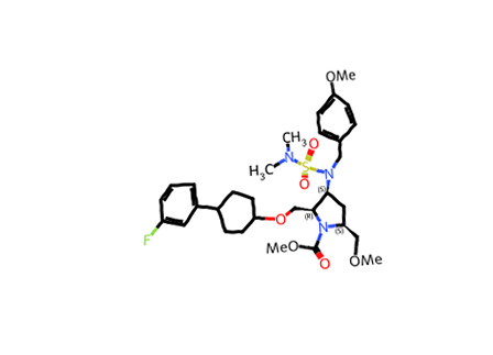 COC[C@@H]1C[C@H](N(Cc2ccc(OC)cc2)S(=O)(=O)N(C)C)[C@H](COC2CCC(c3cccc(F)c3)CC2)N1C(=O)OC